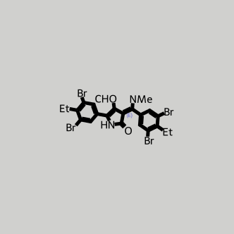 CCc1c(Br)cc(C2=C(C=O)/C(=C(\NC)c3cc(Br)c(CC)c(Br)c3)C(=O)N2)cc1Br